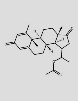 CC(=O)OC(C)[C@@H]1CC(=O)[C@@]2(C)CC[C@H]3[C@@H](CCC4=CC(=O)C=C(C)[C@@]43C)[C@H]12